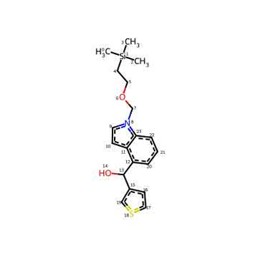 C[Si](C)(C)CCOCn1ccc2c(C(O)c3ccsc3)cccc21